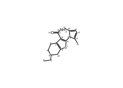 CCN1CCc2c(sc(-n3c(C)ccc3C)c2C(N)=O)C1